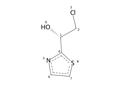 O[C@H](CCl)c1nccs1